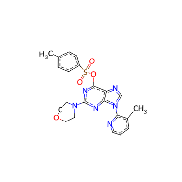 Cc1ccc(S(=O)(=O)Oc2nc(N3CCOCC3)nc3c2ncn3-c2ncccc2C)cc1